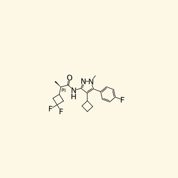 C[C@@H](C(=O)Nc1nn(C)c(-c2ccc(F)cc2)c1C1CCC1)C1CC(F)(F)C1